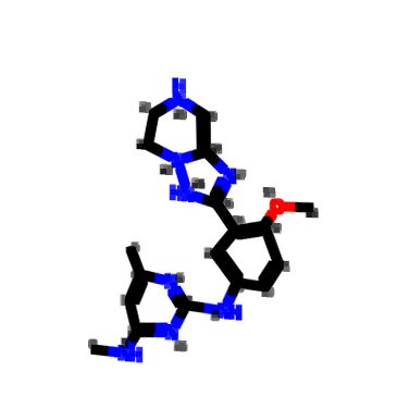 CNc1cc(C)nc(Nc2ccc(OC)c(C3=NC4=CNCCN4N3)c2)n1